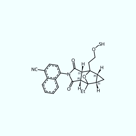 CCC12OC(CCOS)([C@@H]3C[C@@H]31)[C@H]1C(=O)N(c3ccc(C#N)c4ccccc34)C(=O)[C@H]12